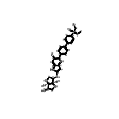 CN=S(=O)(CF)c1ccc(-c2ccc(-c3nc4cc(O[C@@H]5CO[C@H]6[C@@H]5OC[C@H]6O)[nH]c4cc3F)cc2)cc1